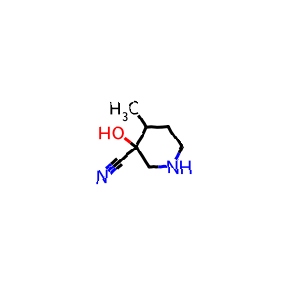 CC1CCNCC1(O)C#N